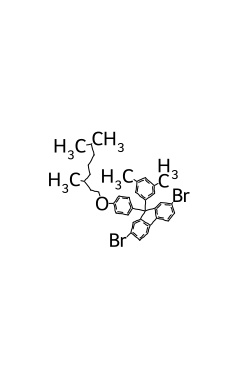 Cc1cc(C)cc(C2(c3ccc(OCCC(C)CCCC(C)C)cc3)c3cc(Br)ccc3-c3ccc(Br)cc32)c1